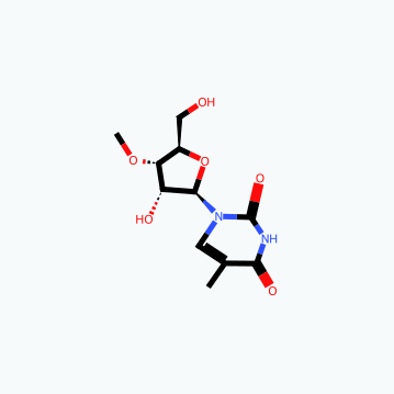 CO[C@H]1[C@@H](O)[C@H](n2cc(C)c(=O)[nH]c2=O)O[C@@H]1CO